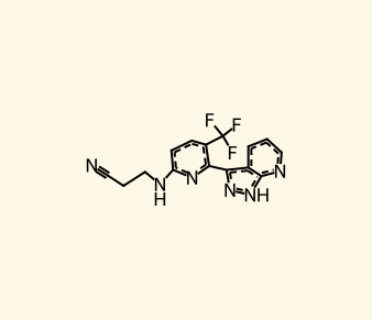 N#CCCNc1ccc(C(F)(F)F)c(-c2n[nH]c3ncccc23)n1